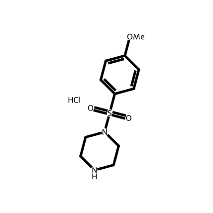 COc1ccc(S(=O)(=O)N2CCNCC2)cc1.Cl